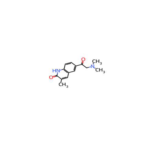 Cc1cc2cc(C(=O)CN(C)C)ccc2[nH]c1=O